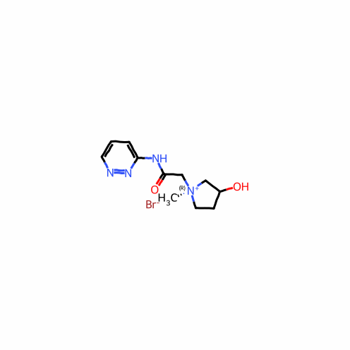 C[N@@+]1(CC(=O)Nc2cccnn2)CCC(O)C1.[Br-]